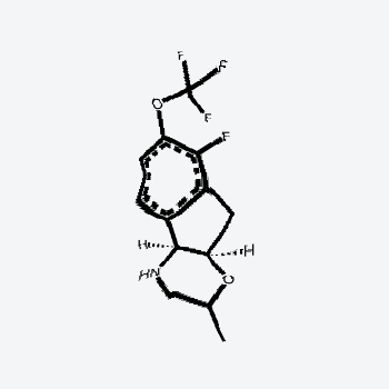 CC1CN[C@H]2c3ccc(OC(F)(F)F)c(F)c3C[C@H]2O1